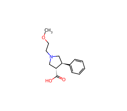 COCCN1C[C@@H](C(=O)O)[C@H](c2ccccc2)C1